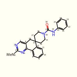 CNc1ncc2c(n1)-c1ccccc1C1(CCN(C(=O)Nc3ccccc3)CC1)C2